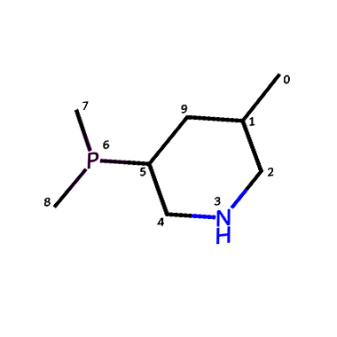 CC1CNCC(P(C)C)C1